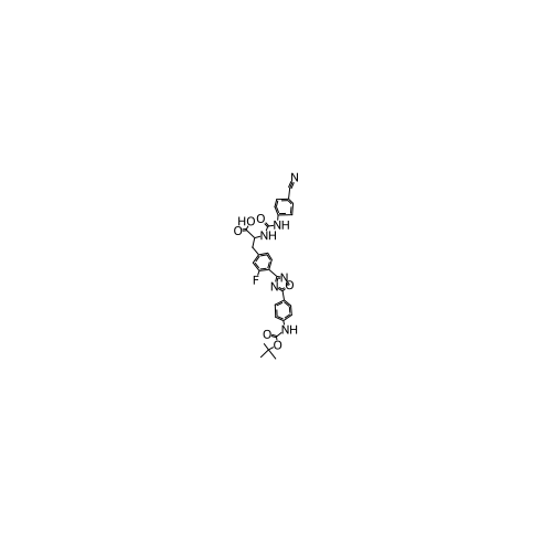 CC(C)(C)OC(=O)Nc1ccc(-c2nc(-c3ccc(CC(NC(=O)Nc4ccc(C#N)cc4)C(=O)O)cc3F)no2)cc1